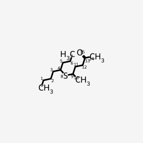 CCCCC(CCC)SC(C)CCC(C)=O